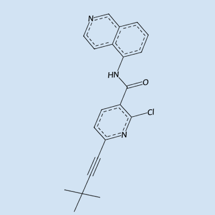 CC(C)(C)C#Cc1ccc(C(=O)Nc2cccc3cnccc23)c(Cl)n1